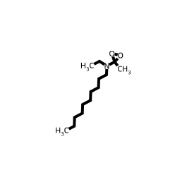 CCCCCCCCCCN(CC)C1(C)OO1